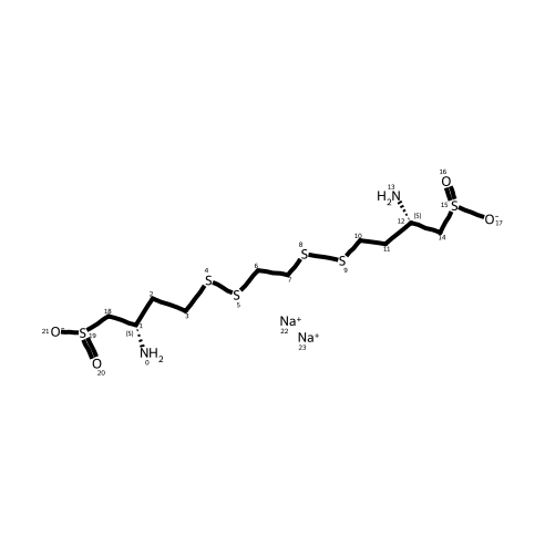 N[C@@H](CCSSCCSSCC[C@H](N)CS(=O)[O-])CS(=O)[O-].[Na+].[Na+]